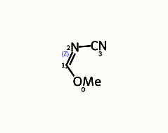 CO/[C]=N\C#N